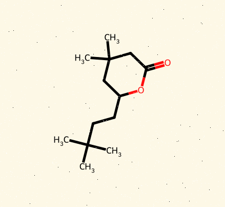 CC(C)(C)CCC1CC(C)(C)CC(=O)O1